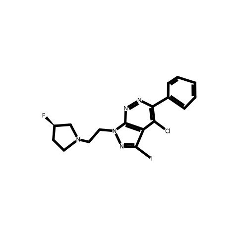 F[C@@H]1CCN(CCn2nc(I)c3c(Cl)c(-c4ccccc4)nnc32)C1